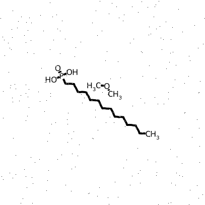 CCCCCCCCCCCCCCP(=O)(O)O.COC